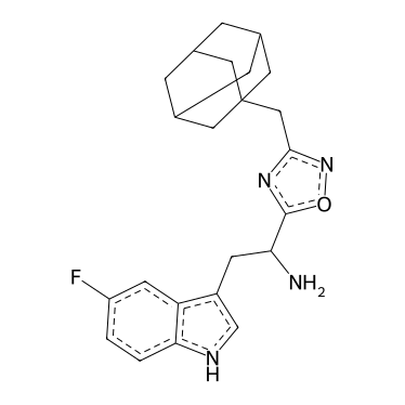 NC(Cc1c[nH]c2ccc(F)cc12)c1nc(CC23CC4CC(CC(C4)C2)C3)no1